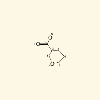 [O]C(=O)C1CCCOC1